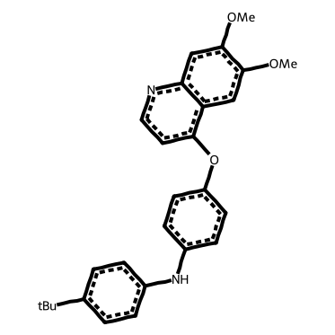 COc1cc2nccc(Oc3ccc(Nc4ccc(C(C)(C)C)cc4)cc3)c2cc1OC